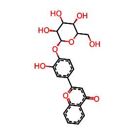 O=c1cc(-c2ccc(O[C@@H]3OC(CO)[C@H](O)C(O)[C@@H]3O)c(O)c2)oc2ccccc12